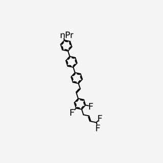 CCCc1ccc(-c2ccc(-c3ccc(/C=C/c4cc(F)c(C/C=C/C(F)F)c(F)c4)cc3)cc2)cc1